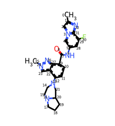 Cc1cn2cc(NC(=O)c3ccc(N4CCN5CCCC5C4)c4cn(C)nc34)cc(F)c2n1